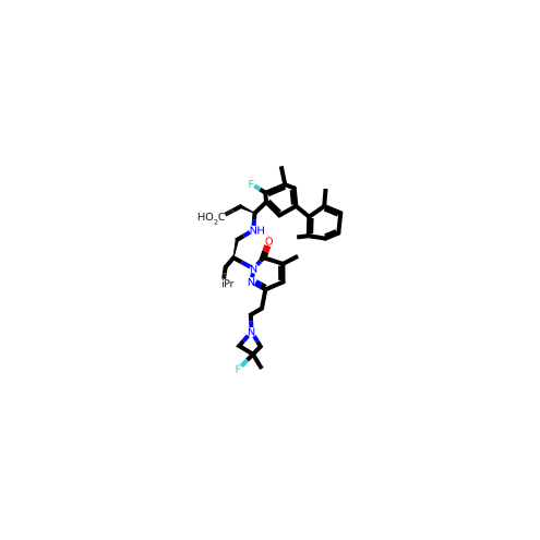 Cc1cc(-c2c(C)cccc2C)cc([C@H](CC(=O)O)NC[C@H](CC(C)C)n2nc(CCN3CC(C)(F)C3)cc(C)c2=O)c1F